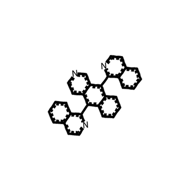 c1ccc2c(-c3c4ccccc4c(-c4nccc5ccccc45)c4cnccc34)nccc2c1